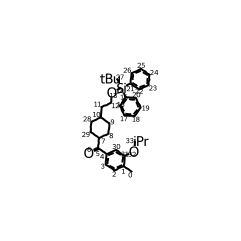 Cc1ccc(C(=O)C2CCC(CCO[Si](c3ccccc3)(c3ccccc3)C(C)(C)C)CC2)cc1OC(C)C